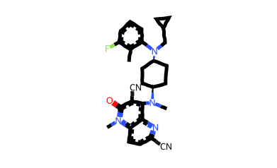 Cc1c(F)cccc1N(CC1CC1)[C@H]1CC[C@H](N(C)c2c(C#N)c(=O)n(C)c3ccc(C#N)nc23)CC1